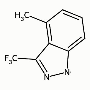 Cc1cccc2c1C(C(F)(F)F)=N[N]2